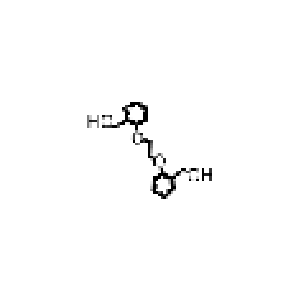 OCc1ccccc1OCCOc1ccccc1CO